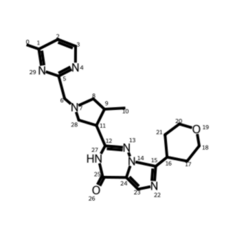 Cc1ccnc(CN2CC(C)C(c3nn4c(C5CCOCC5)ncc4c(=O)[nH]3)C2)n1